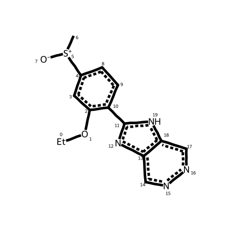 CCOc1cc([S+](C)[O-])ccc1-c1nc2cnncc2[nH]1